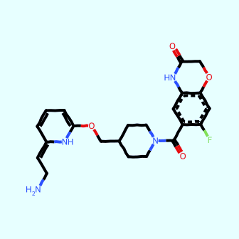 NC/C=C1/C=CC=C(OCC2CCN(C(=O)c3cc4c(cc3F)OCC(=O)N4)CC2)N1